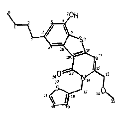 CCCCc1cc(O)c2sc3nc(COC)n(Cc4cccs4)c(=O)c3c2c1